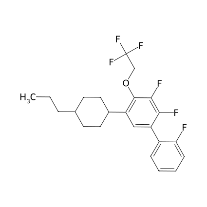 CCCC1CCC(c2cc(-c3ccccc3F)c(F)c(F)c2OCC(F)(F)F)CC1